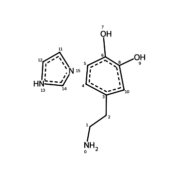 NCCc1ccc(O)c(O)c1.c1c[nH]cn1